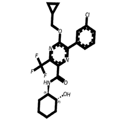 O=C(N[C@@H]1CCCC[C@H]1O)c1nc(-c2cccc(Cl)c2)c(OCC2CC2)nc1C(F)(F)F